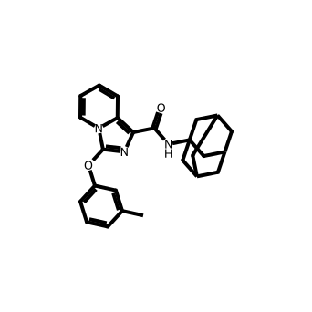 Cc1cccc(Oc2nc(C(=O)NC34CC5CC(CC(C5)C3)C4)c3ccccn23)c1